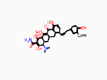 COc1cc(C/C=C\c2ccc(O)c3c2CC2CC4C(N(C)C)C(O)=C(C(N)=O)C(=O)C4(O)C(O)=C2C3=O)ccc1O